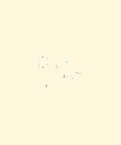 C#CCSc1ccccc1/C(C)=C/C1NNC(=O)CC1C